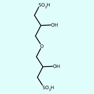 O=S(=O)(O)CC(O)COCC(O)CS(=O)(=O)O